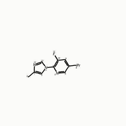 Cc1cn(-c2ncc(C(C)C)cc2F)cn1